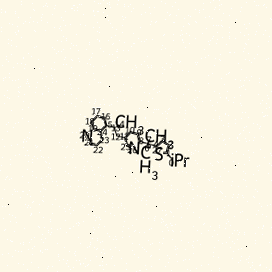 CC(C)c1ccc(C(C)(C)c2ccc(CC(C)c3cccc4ncccc34)cn2)s1